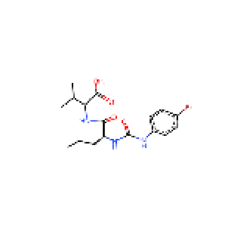 CCC[C@H](NC(=O)Nc1ccc(Br)cc1)C(=O)NC(C(=O)O)C(C)C